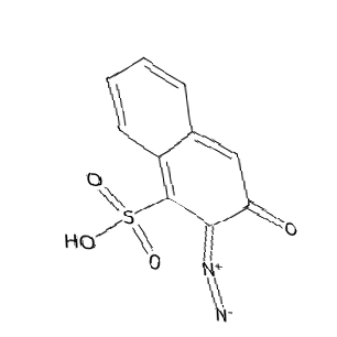 [N-]=[N+]=C1C(=O)C=c2ccccc2=C1S(=O)(=O)O